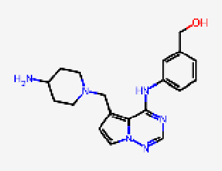 NC1CCN(Cc2ccn3ncnc(Nc4cccc(CO)c4)c23)CC1